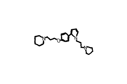 c1cc(-c2ccc(OCCCN3CCCCC3)cc2)n(CCCN2CCCCC2)c1